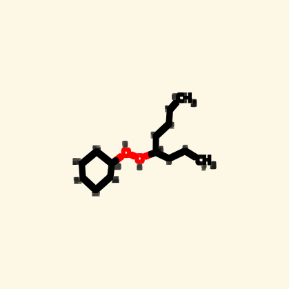 CCCCC(CCC)OOC1CCCCC1